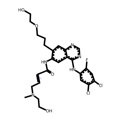 CN(C/C=C/C(=O)Nc1cc2c(Nc3cc(Cl)c(Cl)cc3F)ncnc2cc1CCCOCCO)CCO